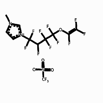 Cn1cc[n+](C(F)(F)C(F)C(F)(F)C(F)(F)OC(F)=C(F)F)c1.O=S(=O)([O-])C(F)(F)F